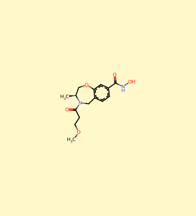 COCCC(=O)N1Cc2ccc(C(=O)NO)cc2OC[C@@H]1C